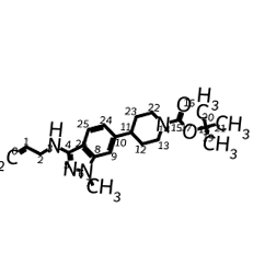 C=CCNc1nn(C)c2cc(C3CCN(C(=O)OC(C)(C)C)CC3)ccc12